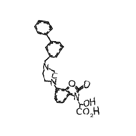 O=C(O)C(O)n1c(=O)oc2c(N3CCN(Cc4cccc(-c5ccccc5)c4)CC3)cccc21